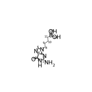 Nc1nc2c(ncn2CCCCB(O)O)c(=O)[nH]1